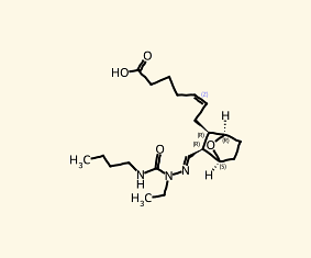 CCCCNC(=O)N(CC)N=C[C@H]1[C@@H](C/C=C\CCCC(=O)O)[C@H]2CC[C@@H]1O2